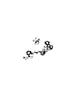 NC(=O)c1ccccc1OCCC[N+]12CCC(CC1)[C@@H](NC(=O)C1(O)c3ccccc3-c3ccccc31)C2.O=C([O-])C(F)(F)F